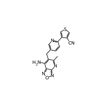 Cc1nc2nonc2c(N)c1Cc1ccc(-c2cscc2C#N)nc1